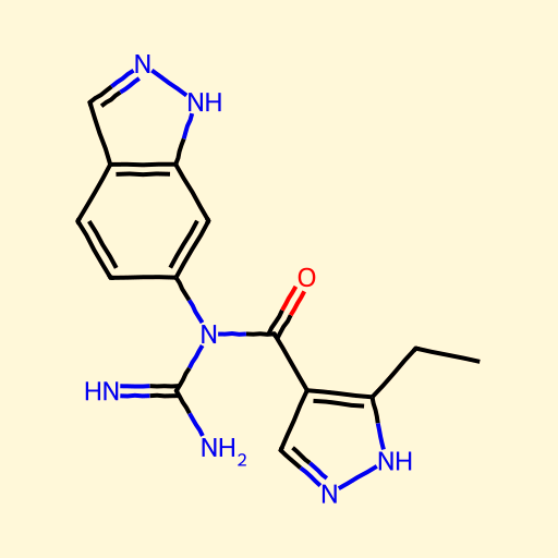 CCc1[nH]ncc1C(=O)N(C(=N)N)c1ccc2cn[nH]c2c1